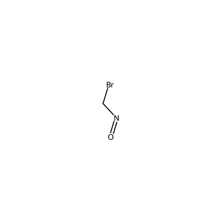 O=NCBr